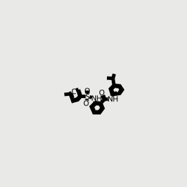 Cc1ccc(S(=O)(=O)Nc2ccccc2C(=O)Nc2cccc(C(C)C)c2)cc1